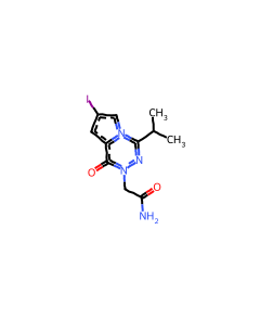 CC(C)c1nn(CC(N)=O)c(=O)c2cc(I)cn12